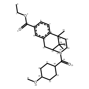 CCOC(=O)c1ccc2c(c1)CC1N(C(=O)C3CCC(OC)CC3)CCC2(C)C1(C)C